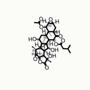 CC(=O)O[C@H]1[C@H]2O[C@H]2C[C@@H]2C(=O)[C@H](OC(=O)CC(C)C)[C@H]3[C@@H]4[C@@H](O)[C@@H]5[C@H]([C@H](C)[C@H]6O[C@]67OC(=O)[C@@](C)(O)[C@]57C)[C@@]4(C)[C@@H](O)C[C@@H]3[C@]21C